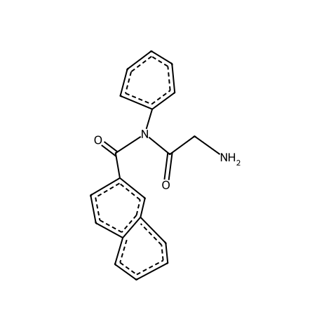 NCC(=O)N(C(=O)c1ccc2ccccc2c1)c1ccccc1